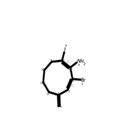 C=C1/C=C(Br)\C(N)=C(\I)CCCC1